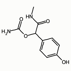 CNC(=O)C(OC(N)=O)c1ccc(O)cc1